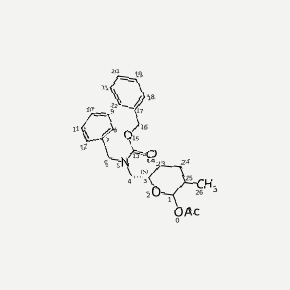 CC(=O)OC1O[C@H](CN(Cc2ccccc2)C(=O)OCc2ccccc2)CCC1C